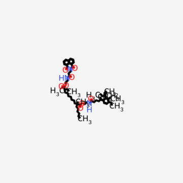 C=C[C@@](C)(CCC)C1C(CC)=C(CC)C=C/C1=C(/C)CCCC(=O)NCCOC(=O)C(C)(CCCCCC)CCCCCCCC(C)(CC)C(=O)OCCNC(=O)CCN1C(=O)c2cccc3cccc(c23)C1=O